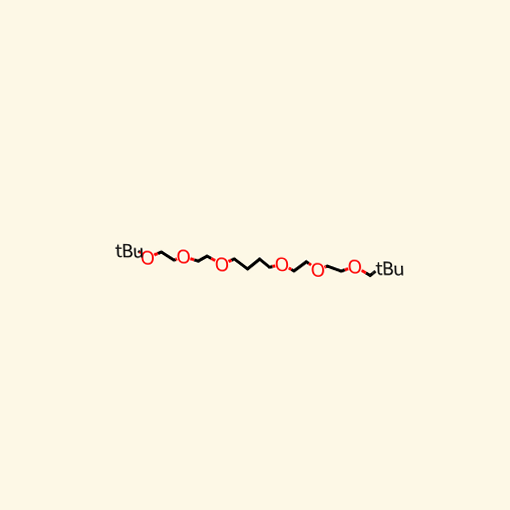 CC(C)(C)COCCOCCOCCCCOCCOCCOC(C)(C)C